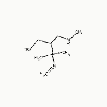 C=NC(C)(C)C(CNO)CC(C)(C)C